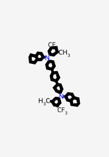 Cc1cc(N(c2ccc(-c3ccc(-c4ccc(N(c5cc(C)cc(C(F)(F)F)c5)c5ccc6ccccc6c5)cc4)cc3)cc2)c2ccc3ccccc3c2)cc(C(F)(F)F)c1